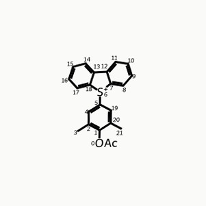 CC(=O)Oc1c(C)cc(-[s+]2c3ccccc3c3ccccc32)cc1C